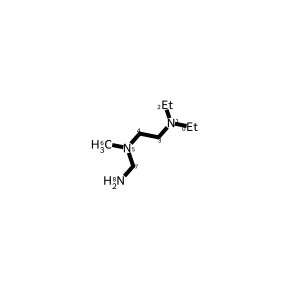 CCN(CC)CCN(C)CN